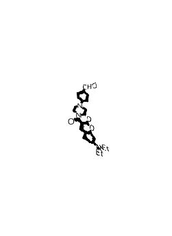 CCN(CC)c1ccc2cc(C(=O)N3CCN(c4ccc(C=O)cc4)CC3)c(=O)oc2c1